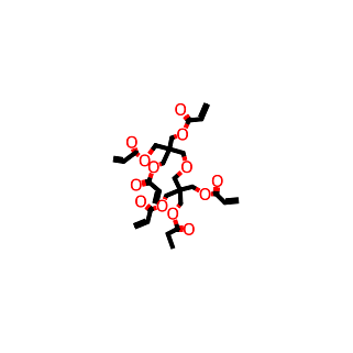 C=CC(=O)OCC(COCC(COC(=O)C=C)(COC(=O)C=C)COC(=O)CC)(COC(=O)C=C)COC(=O)C=C